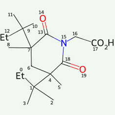 CCC(C)(C)C1(C)CC(C)(C(C)(C)CC)C(=O)N(CC(=O)O)C1=O